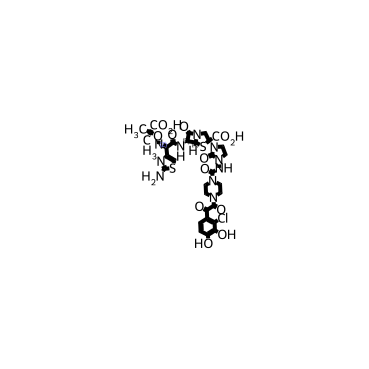 CC(C)(O/N=C(\C(=O)N[C@@H]1C(=O)N2CC(C(=O)O)(N3CCN(NC(=O)N4CCN(C(=O)C(=O)c5ccc(O)c(O)c5Cl)CC4)C3=O)S[C@H]12)c1csc(N)n1)C(=O)O